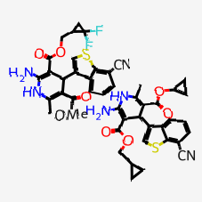 CC1=C(C(=O)OC2CC2)C(c2csc3c(C#N)cccc23)C(C(=O)OCC2CC2)=C(N)N1.COC(=O)C1=C(C)NC(N)=C(C(=O)OCC2CC2(F)F)C1c1csc2c(C#N)cccc12